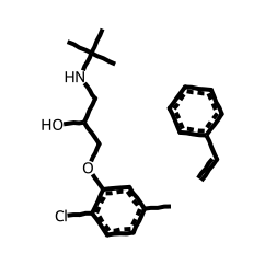 C=Cc1ccccc1.Cc1ccc(Cl)c(OCC(O)CNC(C)(C)C)c1